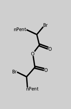 CCCCCC(Br)C(=O)OC(=O)C(Br)CCCCC